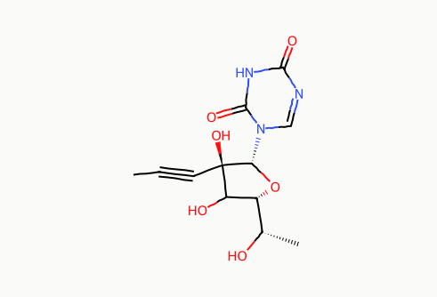 CC#C[C@@]1(O)C(O)[C@@H]([C@H](C)O)O[C@H]1n1cnc(=O)[nH]c1=O